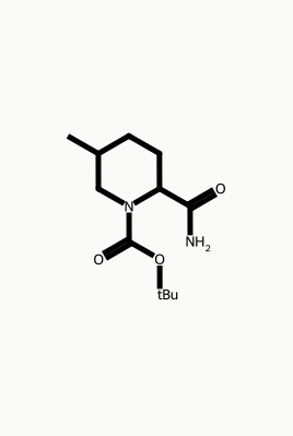 CC1CCC(C(N)=O)N(C(=O)OC(C)(C)C)C1